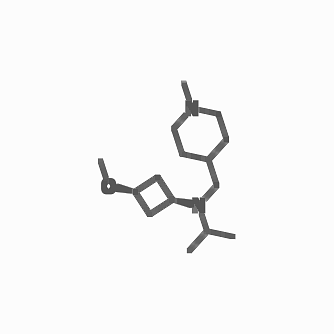 CO[C@H]1C[C@@H](N(CC2CCN(C)CC2)C(C)C)C1